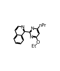 CCCc1cc(OCC)nc(-c2nccc3ccccc23)n1